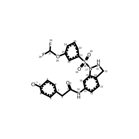 O=C(Cc1ccc(Cl)cc1)Nc1ccc2c(c1)N(S(=O)(=O)c1cccc(OC(F)F)c1)NC2